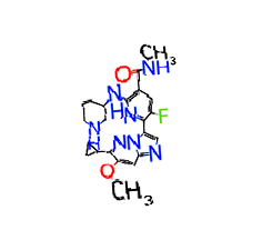 CNC(=O)c1cc(F)c(-c2cnc3cc(OC)c(C4CC4)nn23)nc1N[C@@H]1CCCNC1